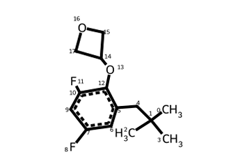 CC(C)(C)Cc1cc(F)cc(F)c1OC1COC1